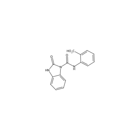 O=C(O)c1ccccc1NC(=O)n1c(=O)[nH]c2ccccc21